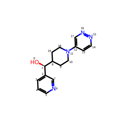 O[C@H](c1cccnc1)C1CCN(c2ccnnc2)CC1